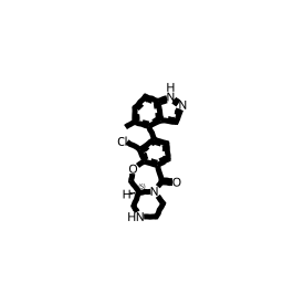 Cc1ccc2[nH]ncc2c1-c1ccc2c(c1Cl)OC[C@@H]1CNCCN1C2=O